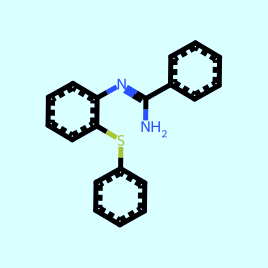 NC(=Nc1ccccc1Sc1ccccc1)c1ccccc1